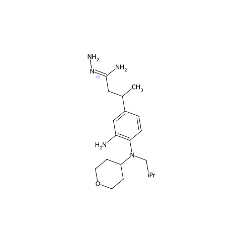 CC(C)CN(c1ccc(C(C)C/C(N)=N/N)cc1N)C1CCOCC1